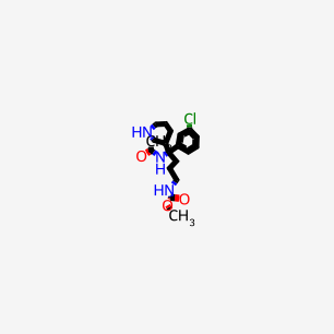 COC(=O)NCCCC(NC(C)=O)(c1cccc(Cl)c1)C1CCCNC1